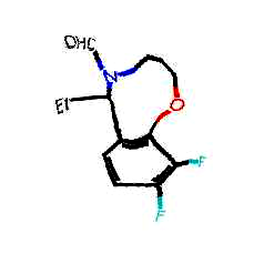 CCC1c2ccc(F)c(F)c2OCCN1C=O